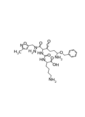 Cc1cc(CN(N)C(=O)C(NC(=O)NC(CCCCN)C(=O)O)C(=C=O)CCC(N)OCc2ccccc2)on1